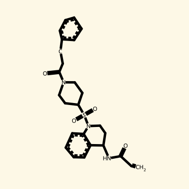 C=CC(=O)NC1CCN(S(=O)(=O)C2CCN(C(=O)CCc3ccccc3)CC2)c2ccccc21